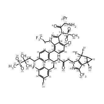 CC(C)[C@H](N)C(=O)N(c1nn(CC(F)(F)F)c2c(-c3ccc(CCC(C)(C)S(C)(=O)=O)nc3[C@H](Cc3cc(F)cc(F)c3)NC(=O)Cn3nc(C(F)(F)F)c4c3C(F)(F)C3C[C@H]43)ccc(Cl)c12)S(C)(=O)=O